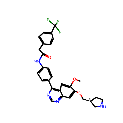 COc1cc2c(-c3ccc(NC(=O)Cc4ccc(C(F)(F)F)cc4)cc3)ncnc2cc1OC[C@H]1CCNC1